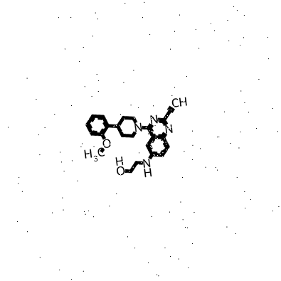 C#Cc1nc(N2CCC(c3ccccc3OC)CC2)c2cc(NCCO)ccc2n1